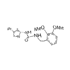 COc1cccc(CNC(=O)Nc2ncc(C(C)C)s2)c1OC